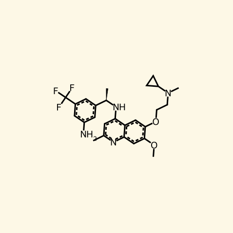 COc1cc2nc(C)cc(N[C@H](C)c3cc(N)cc(C(F)(F)F)c3)c2cc1OCCN(C)C1CC1